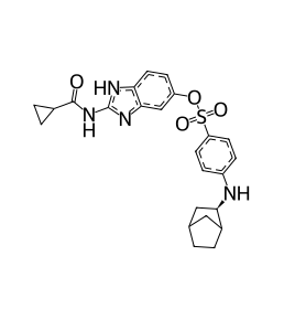 O=C(Nc1nc2cc(OS(=O)(=O)c3ccc(N[C@@H]4CC5CCC4C5)cc3)ccc2[nH]1)C1CC1